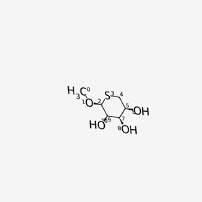 CO[C@H]1SC[C@@H](O)[C@@H](O)[C@H]1O